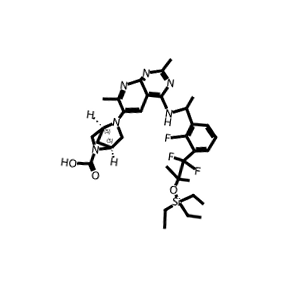 CC[Si](CC)(CC)OC(C)(C)C(F)(F)c1cccc(C(C)Nc2nc(C)nc3nc(C)c(N4C[C@@H]5C[C@H]4CN5C(=O)O)cc23)c1F